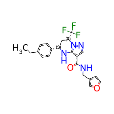 CCc1ccc([C@@H]2C[C@H](C(F)(F)F)n3ncc(C(=O)NCc4ccoc4)c3N2)cc1